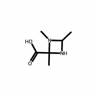 CC1NC(C)(C(=O)O)N1C